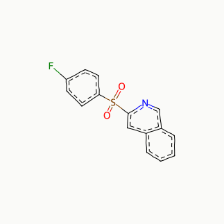 O=S(=O)(c1ccc(F)cc1)c1cc2ccccc2cn1